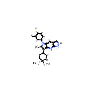 COC1(C(=O)O)CCC(c2c(C(C)C)n(-c3ccc(F)c(C)c3)c3cc4cn[nH]c4nc23)CC1